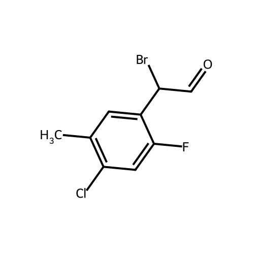 Cc1cc(C(Br)C=O)c(F)cc1Cl